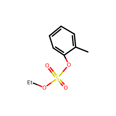 CCOS(=O)(=O)Oc1ccccc1C